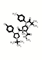 CNC(=O)[C@@H]1C[C@H](N(C(=O)C(C)(C)C)c2ccc(C)cc2)C[N+]1(C)C(=O)[C@@H]1CN(C(C)(C)C)C[C@H]1c1ccc(Cl)cc1